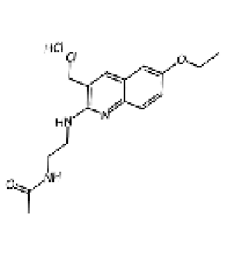 CCOc1ccc2nc(NCCNC(C)=O)c(CCl)cc2c1.Cl